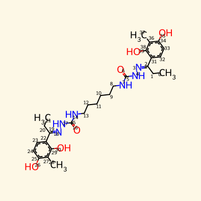 CC/C(=N\NC(=O)NCCCCCCNC(=O)N/N=C(\CC)c1ccc(O)c(C)c1O)c1ccc(O)c(C)c1O